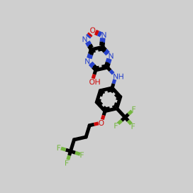 Oc1nc2nonc2nc1Nc1ccc(OCCCC(F)(F)F)c(C(F)(F)F)c1